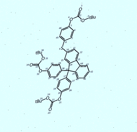 CC(C)(C)OC(=O)Oc1ccc(Sc2ccc3c(c2)C(c2ccc(OC(=O)OC(C)(C)C)cc2)(c2ccc(OC(=O)OC(C)(C)C)cc2)c2ccccc2-3)cc1